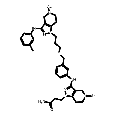 CC(=O)N1CCc2c(c(Nc3cccc(C)c3)nn2CCCOCc2cccc(Nc3nn(CCC(N)=O)c4c3CN(C(C)=O)CC4)c2)C1